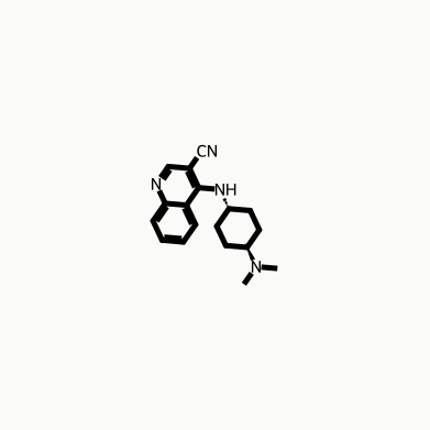 CN(C)[C@H]1CC[C@H](Nc2c(C#N)cnc3ccccc23)CC1